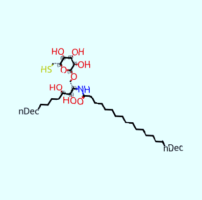 CCCCCCCCCCCCCCCCCCCCCCCCCC(=O)N[C@@H](CO[C@H]1O[C@H](CS)[C@H](O)[C@H](O)[C@H]1O)[C@H](O)[C@H](O)CCCCCCCCCCCCCC